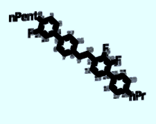 CCCCCc1ccc(-c2ccc(/C=C/c3ccc(-c4ccc(CCC)cc4)c(F)c3F)cc2)cc1F